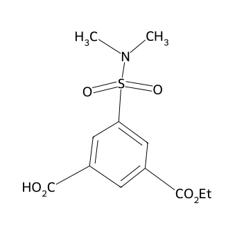 CCOC(=O)c1cc(C(=O)O)cc(S(=O)(=O)N(C)C)c1